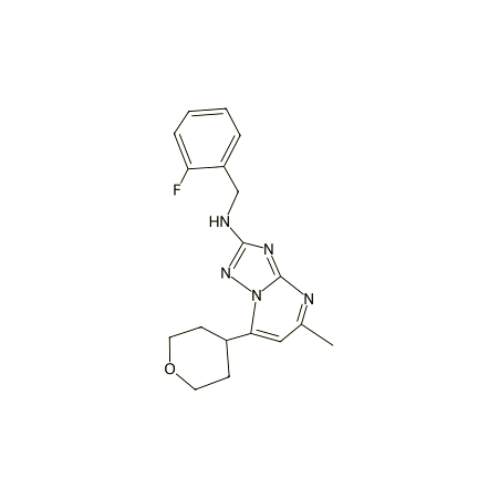 Cc1cc(C2CCOCC2)n2nc(NCc3ccccc3F)nc2n1